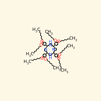 CCCCCCCCOc1ccc(-c2c3nc(c(-c4ccc(OCCCCCCCC)c(OCCCCCCCC)c4)c4ccc([nH]4)c(-c4ccc(OCCCCCCCC)c(OCCCCCCCC)c4)c4nc(c(-c5ccc(OCCCCCCCC)c(OCCCCCCCC)c5)c5ccc2[nH]5)C=C4)C=C3)cc1OCCCCCCCC